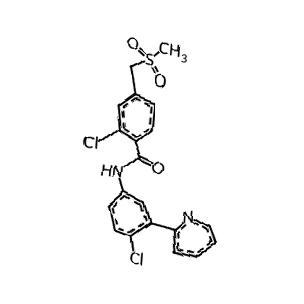 CS(=O)(=O)Cc1ccc(C(=O)Nc2ccc(Cl)c(-c3ccccn3)c2)c(Cl)c1